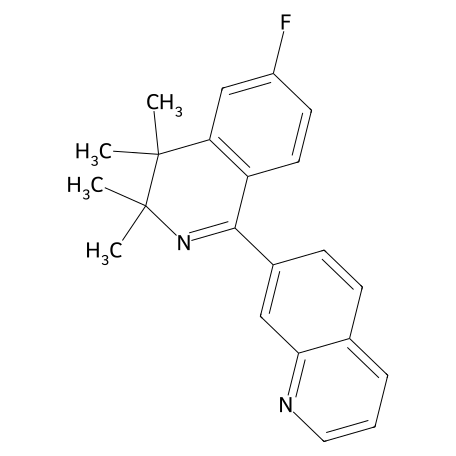 CC1(C)N=C(c2ccc3cccnc3c2)c2ccc(F)cc2C1(C)C